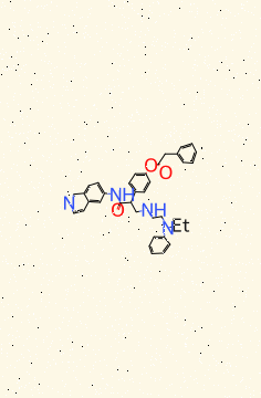 CCN(CCNCC(C(=O)Nc1ccc2cnccc2c1)c1ccc(OC(=O)Cc2ccccc2)cc1)c1ccccc1